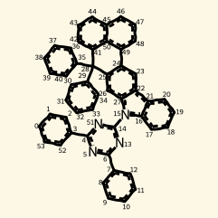 c1ccc(-c2nc(-c3ccccc3)nc(-n3c4ccccc4c4cc5c(cc43)C(c3ccccc3)(c3ccccc3)c3cccc4cccc-5c34)n2)cc1